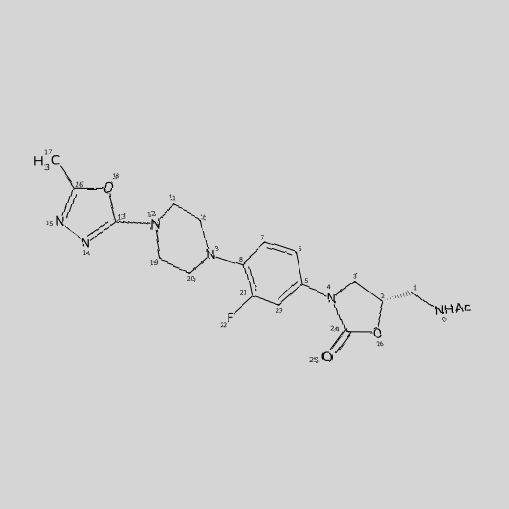 CC(=O)NC[C@H]1CN(c2ccc(N3CCN(c4nnc(C)o4)CC3)c(F)c2)C(=O)O1